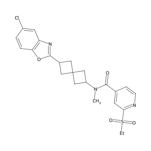 CCS(=O)(=O)c1cc(C(=O)N(C)C2CC3(CC(c4nc5cc(Cl)ccc5o4)C3)C2)ccn1